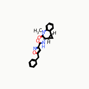 CN1C(=O)[C@H](NC(=O)c2cc(Cc3ccccc3)on2)[C@@H]2C[C@@H]2c2ccccc21